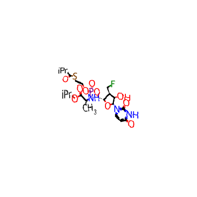 CC(C)OC(=O)[C@H](C)N[P@](=O)(OCCSC(=O)C(C)C)OC[C@H]1O[C@@H](n2ccc(=O)[nH]c2=O)[C@H](O)[C@@H]1CF